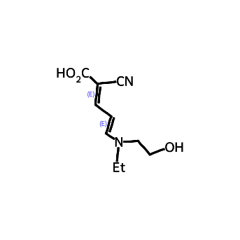 CCN(/C=C/C=C(\C#N)C(=O)O)CCO